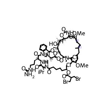 COc1cc2cc(c1Cl)N(C)C(=O)C[C@H](OC(=O)[C@H](C)N(C)C(=O)c1ccccc1NC(=O)[C@H](CCCNC(N)=O)NC(=O)[C@@H](NC(=O)CCCCC(C)OC(=O)C(CBr)CBr)C(C)C)[C@@H](C)[C@@H](O)[C@H](C)[C@@H]1C[C@@](O)(NC(=O)O1)[C@H](OC)/C=C/C=C(\C)C2